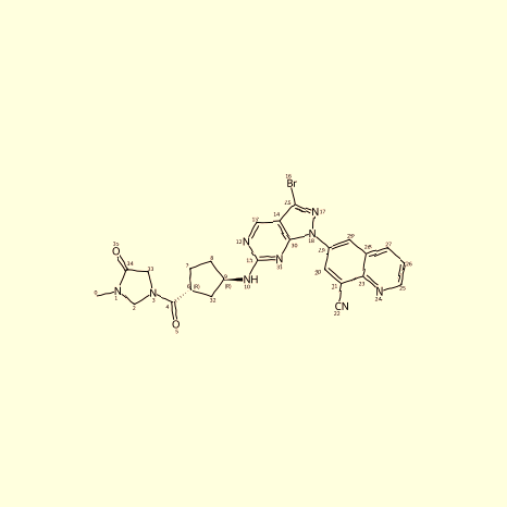 CN1CN(C(=O)[C@@H]2CC[C@@H](Nc3ncc4c(Br)nn(-c5cc(C#N)c6ncccc6c5)c4n3)C2)CC1=O